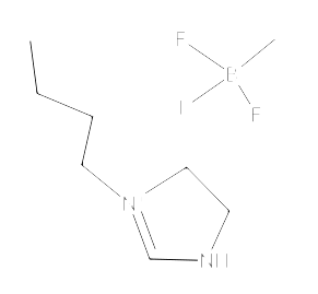 CCCC[N+]1=CNCC1.F[B-](F)(F)F